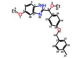 CCOc1ccc2[nH]c(C(OCC)c3ccc(OCc4ccc(C)cc4)cc3)nc2c1